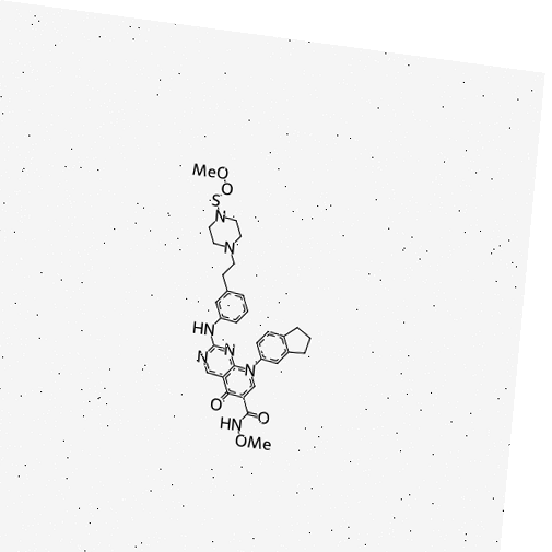 CONC(=O)c1cn(-c2ccc3c(c2)CCC3)c2nc(Nc3cccc(CCN4CCN(SOOC)CC4)c3)ncc2c1=O